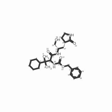 CC(C)(C1CCCCC1)C(NC(=O)OCc1ccccc1)C(=O)N[C@H](CO)C[C@@H]1CCNC1=O